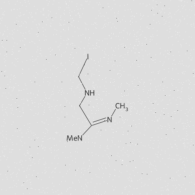 C/N=C(\CNCI)NC